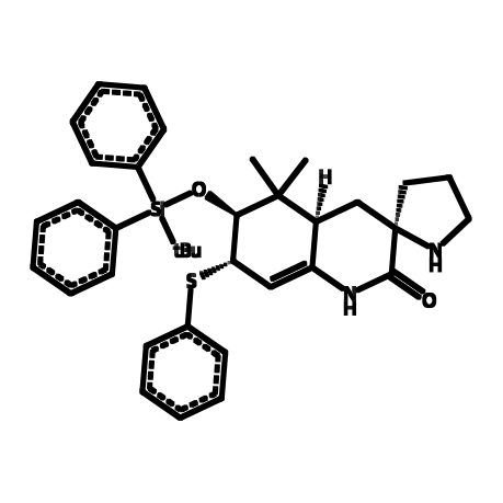 CC1(C)[C@H](O[Si](c2ccccc2)(c2ccccc2)C(C)(C)C)[C@@H](Sc2ccccc2)C=C2NC(=O)[C@@]3(CCCN3)C[C@@H]21